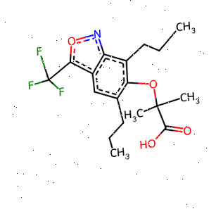 CCCc1cc2c(C(F)(F)F)onc2c(CCC)c1OC(C)(C)C(=O)O